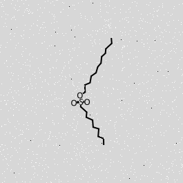 CCCCCCCCCCCCOS(=O)(=O)CCCCCCCCC